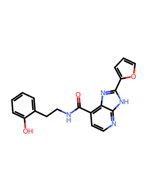 O=C(NCCc1ccccc1O)c1ccnc2[nH]c(-c3ccco3)nc12